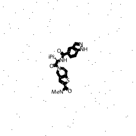 CNC(=O)c1cc2c(s1)CCN(C(=O)[C@H](NC(=O)c1ccc3[nH]ncc3c1)C(C)C)C2